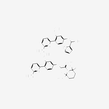 COc1cc(OC(C)c2ccc[nH]2)ccc1-c1cccc(N)n1.COc1cc(OCC(=O)N2C(C)(C)CCCC2(C)C)ccc1-c1cccc(N)n1